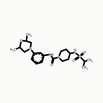 CC1CN(c2cccc(NC(=O)N3CCC(NS(=O)(=O)C(C)C)CC3)c2)CC(C)O1